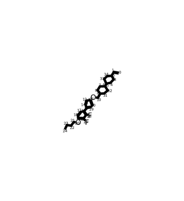 C=CC1CCC(C2CCC(COc3ccc(-c4ccc(OCCCC)c(F)c4F)cc3)CC2)CC1